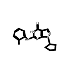 Cc1ccccc1Nc1nc2c(cnn2C2CCCC2)c(=O)[nH]1